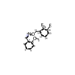 COc1ccccc1/[C]=N\OCc1cccc(F)c1F